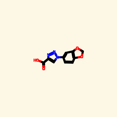 O=C(O)c1cn(-c2ccc3c(c2)OCO3)nn1